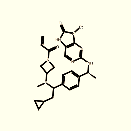 C=CC(=O)N1CC(N(C)C(CC2CC2)c2ccc([C@H](C)Nc3ncc4[nH]c(=O)n(CC)c4n3)cc2)C1